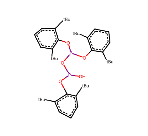 CC(C)(C)c1cccc(C(C)(C)C)c1OP(O)OP(Oc1c(C(C)(C)C)cccc1C(C)(C)C)Oc1c(C(C)(C)C)cccc1C(C)(C)C